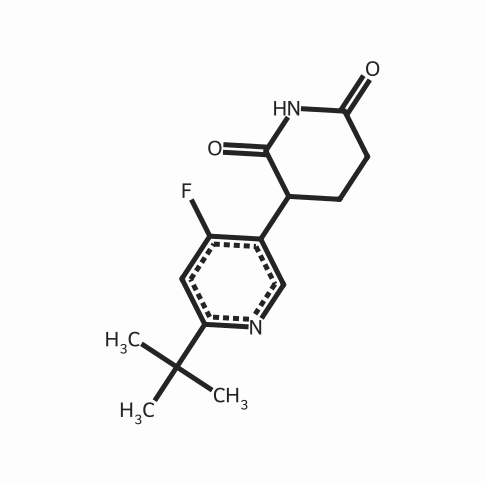 CC(C)(C)c1cc(F)c(C2CCC(=O)NC2=O)cn1